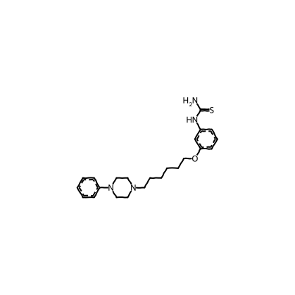 NC(=S)Nc1cccc(OCCCCCCN2CCN(c3ccccc3)CC2)c1